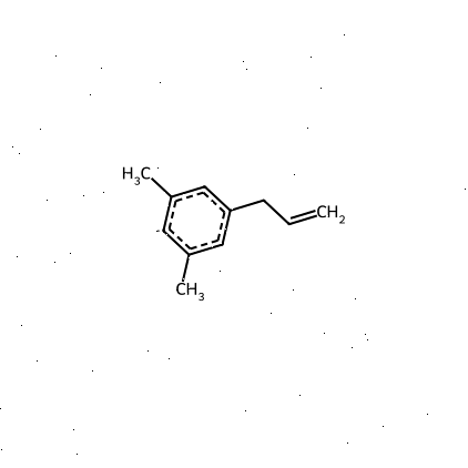 C=CCc1cc(C)[c]c(C)c1